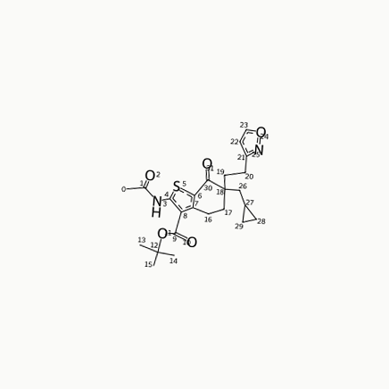 CC(=O)Nc1sc2c(c1C(=O)OC(C)(C)C)CCC(CCc1ccon1)(CC1CC1)C2=O